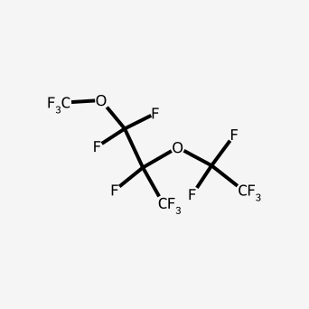 FC(F)(F)OC(F)(F)C(F)(OC(F)(F)C(F)(F)F)C(F)(F)F